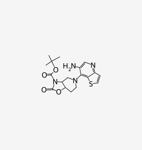 CC(C)(C)OC(=O)N1C(=O)OC2CCN(c3c(N)cnc4ccsc34)CC21